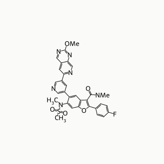 CNC(=O)c1c(-c2ccc(F)cc2)oc2cc(N(C)S(C)(=O)=O)c(-c3cncc(-c4cc5cnc(OC)nc5cn4)c3)cc12